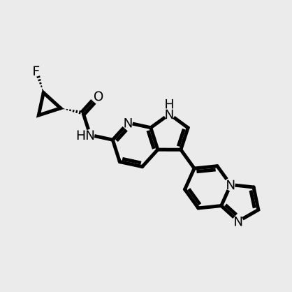 O=C(Nc1ccc2c(-c3ccc4nccn4c3)c[nH]c2n1)[C@@H]1C[C@@H]1F